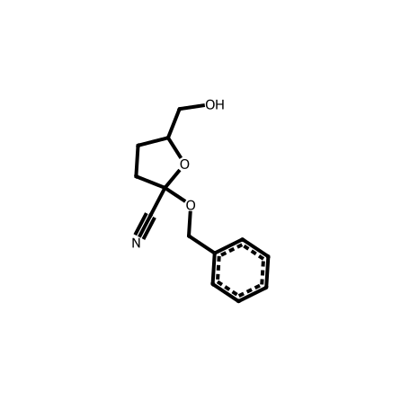 N#CC1(OCc2ccccc2)CCC(CO)O1